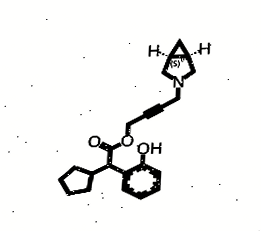 O=C(OCC#CCN1C[C@H]2C[C@H]2C1)C(c1ccccc1O)C1CCCC1